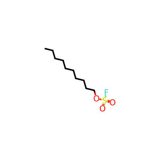 CCCCCCCCCCOS(=O)(=O)F